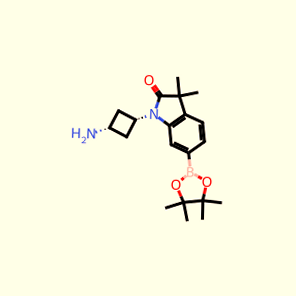 CC1(C)C(=O)N([C@H]2C[C@@H](N)C2)c2cc(B3OC(C)(C)C(C)(C)O3)ccc21